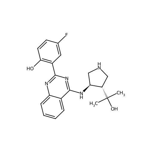 CC(C)(O)[C@H]1CNC[C@@H]1Nc1nc(-c2cc(F)ccc2O)nc2ccccc12